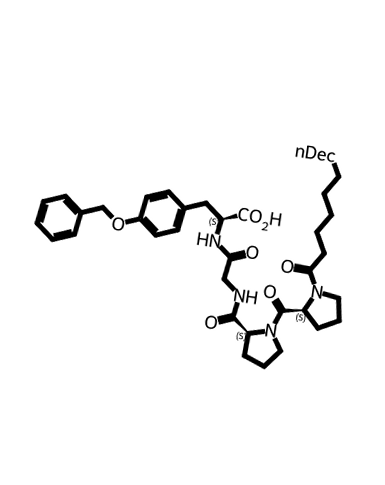 CCCCCCCCCCCCCCCC(=O)N1CCC[C@H]1C(=O)N1CCC[C@H]1C(=O)NCC(=O)N[C@@H](Cc1ccc(OCc2ccccc2)cc1)C(=O)O